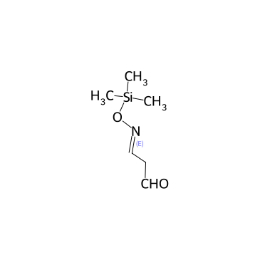 C[Si](C)(C)O/N=C/CC=O